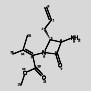 C=CC[C@@H]1C(N)C(=O)N1C(C(=O)OC)=C(C)C